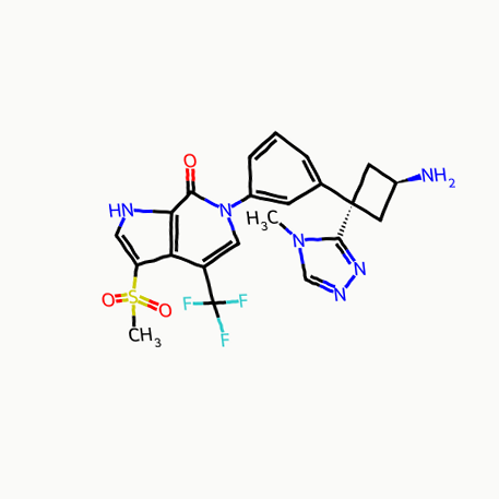 Cn1cnnc1[C@]1(c2cccc(-n3cc(C(F)(F)F)c4c(S(C)(=O)=O)c[nH]c4c3=O)c2)C[C@@H](N)C1